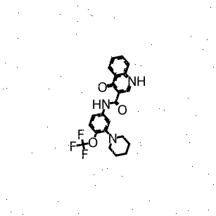 O=C(Nc1ccc(OC(F)(F)F)c(N2CCCCC2)c1)c1c[nH]c2ccccc2c1=O